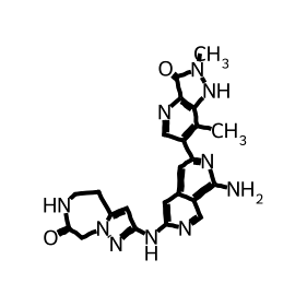 Cc1c(-c2cc3cc(Nc4cc5n(n4)CC(=O)NCC5)ncc3c(N)n2)cnc2c(=O)n(C)[nH]c12